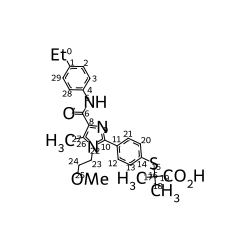 CCc1ccc(NC(=O)c2nc(-c3ccc(SC(C)(C)C(=O)O)cc3)n(CCOC)c2C)cc1